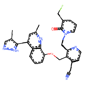 Cc1cc(-c2[nH]ncc2C)c2cccc(OCc3c(C#N)ccnc3Cn3cccc(CF)c3=O)c2n1